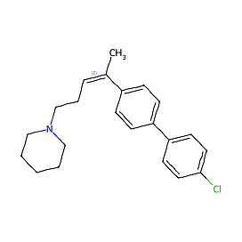 C/C(=C/CCN1CCCCC1)c1ccc(-c2ccc(Cl)cc2)cc1